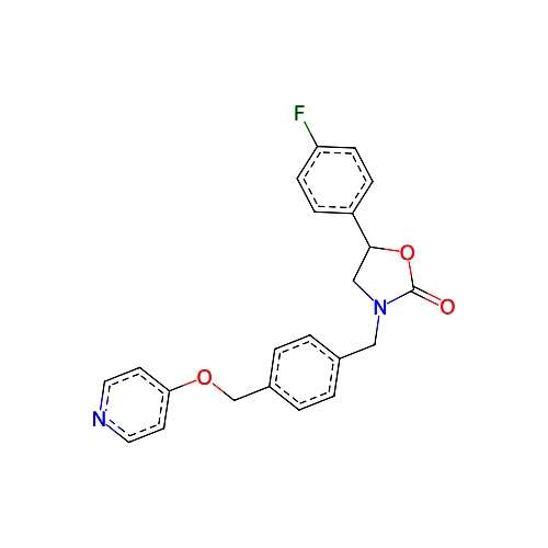 O=C1OC(c2ccc(F)cc2)CN1Cc1ccc(COc2ccncc2)cc1